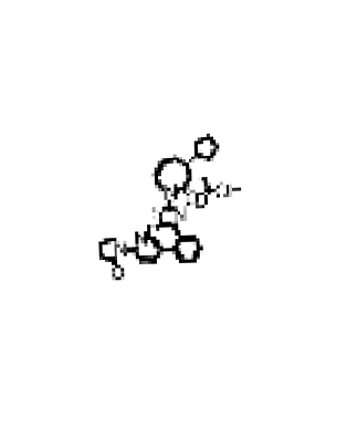 O=C(O)C[C@@H]1C(=O)N(c2nc(-c3ccccc3-c3ccc(N4CCCC4=O)nc3)c(F)s2)CC=CC[C@H]1C1CCCC1